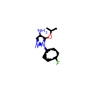 CC(C)Oc1c(N)cnn1-c1ccc(F)cc1